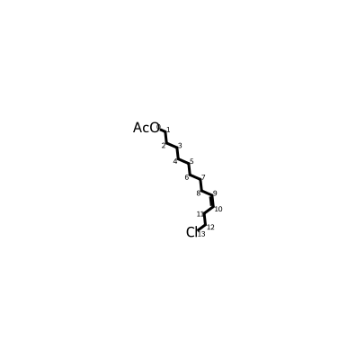 CC(=O)OCCCCCCCC/C=C\CCCl